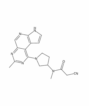 Cc1nc(N2CCC(N(C)C(=O)CC#N)C2)c2c(cnc3[nH]ccc32)n1